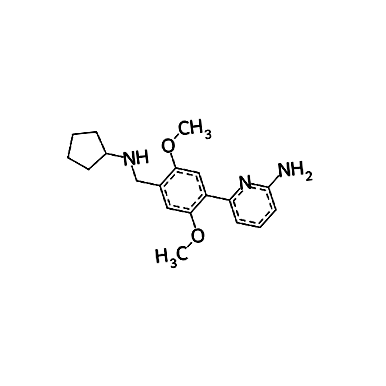 COc1cc(-c2cccc(N)n2)c(OC)cc1CNC1CCCC1